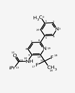 Cc1cncc(-c2ccc(NC(=O)C(C)C)c(C(C)(F)F)n2)c1